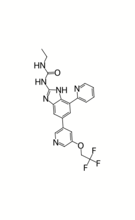 CCNC(=O)Nc1nc2cc(-c3cncc(OCC(F)(F)F)c3)cc(-c3ccccn3)c2[nH]1